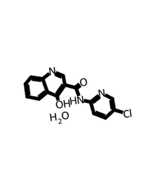 O.O=C(Nc1ccc(Cl)cn1)c1cnc2ccccc2c1O